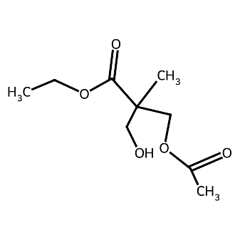 CCOC(=O)C(C)(CO)COC(C)=O